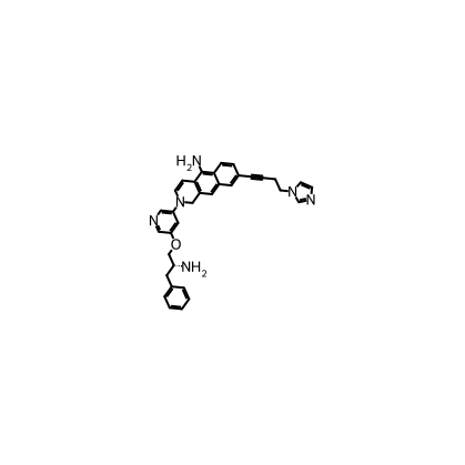 Nc1c2c(cc3cc(C#CCCn4ccnc4)ccc13)CN(c1cncc(OC[C@H](N)Cc3ccccc3)c1)C=C2